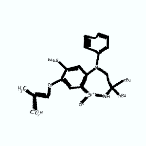 CCCCC1(CCCC)CN(c2ccccc2)c2cc(SC)c(O/C=C(\C)C(=O)O)cc2[S+]([O-])N1